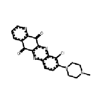 CN1CCN(c2ccc3nc4c(nc3c2Cl)C(=O)c2ncccc2C4=O)CC1